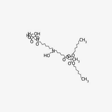 CCCCCCCCOC(=O)C(C)(COC(=O)CCCCCN(CCO)CCCCCCCC(=O)OCC(C)(C(=O)O)C(=O)O)C(=O)OCCCCCCCC